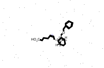 O=C(O)CCC/C=C\C[C@@H]1[C@@H](COCc2ccccc2)[C@@H]2CC[C@H]1O2